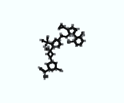 O=C(O)c1cc(F)cc(C2CC(O)(c3ccc(OCc4c(-c5c(Cl)cccc5Cl)nsc4C4CC4)cc3C(F)(F)F)C2)c1